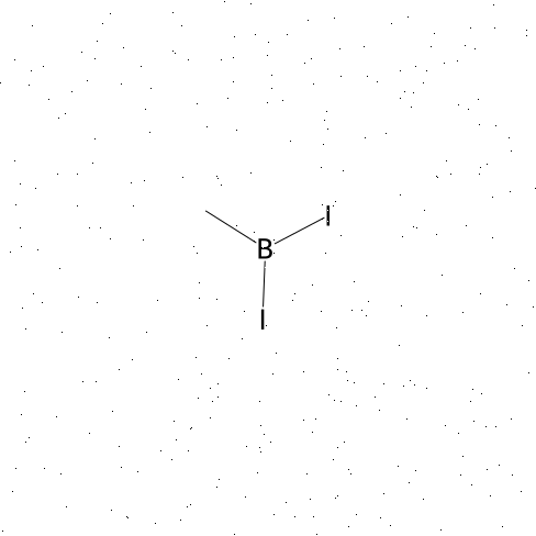 CB(I)I